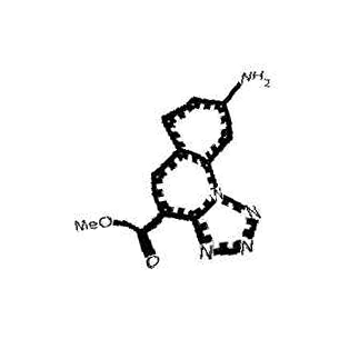 COC(=O)c1cc2ccc(N)cc2n2nnnc12